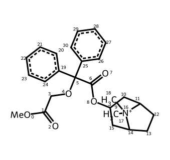 COC(=O)COC(C(=O)OC1CC2CCC(C1)[N+]2(C)C)(c1ccccc1)c1ccccc1